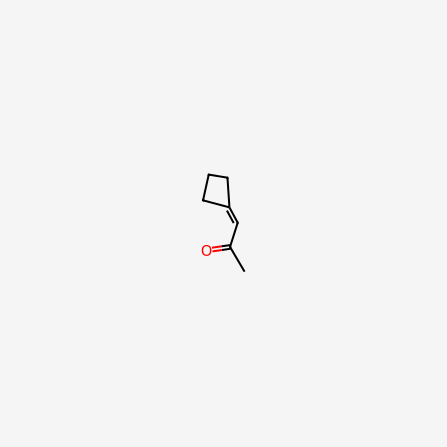 CC(=O)C=C1CCC1